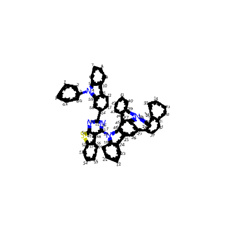 c1ccc(-n2c3ccccc3c3ccc(-c4nc(-n5c6ccccc6c6cc7c8ccc9ccccc9c8n8c9ccccc9c(c65)c78)c5c(n4)sc4ccccc45)cc32)cc1